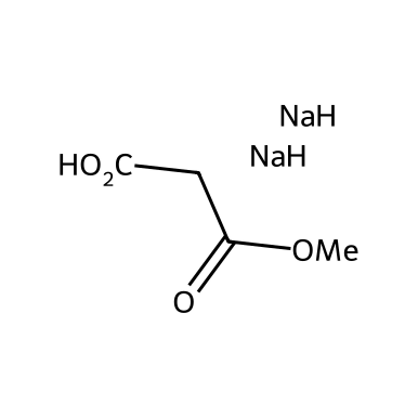 COC(=O)CC(=O)O.[NaH].[NaH]